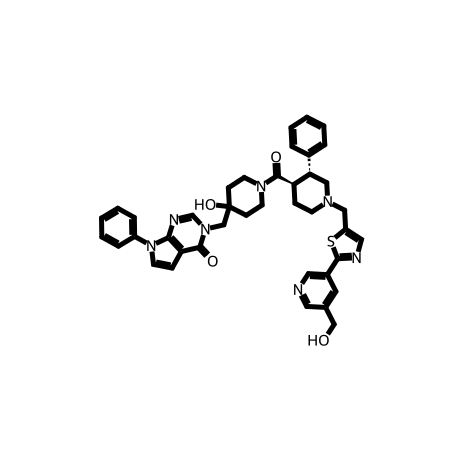 O=C([C@@H]1CCN(Cc2cnc(-c3cncc(CO)c3)s2)C[C@H]1c1ccccc1)N1CCC(O)(Cn2cnc3c(ccn3-c3ccccc3)c2=O)CC1